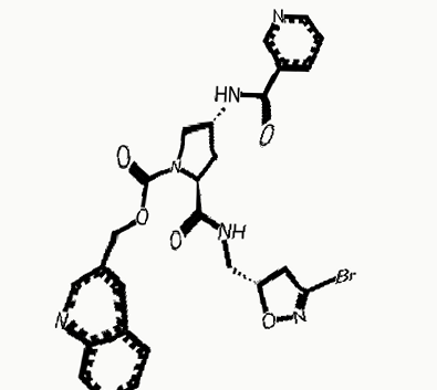 O=C(N[C@@H]1C[C@@H](C(=O)NC[C@@H]2CC(Br)=NO2)N(C(=O)OCc2cnc3ccccc3c2)C1)c1cccnc1